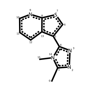 Cc1nnc(-c2csc3ncccc23)n1C